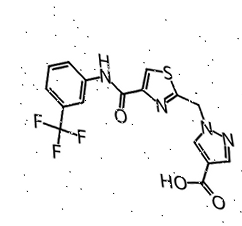 O=C(O)c1cnn(Cc2nc(C(=O)Nc3cccc(C(F)(F)F)c3)cs2)c1